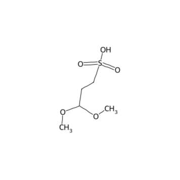 COC(CCS(=O)(=O)O)OC